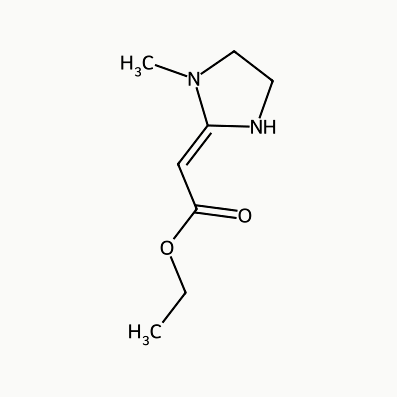 CCOC(=O)/C=C1\NCCN1C